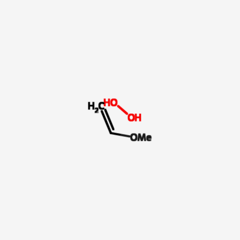 C=COC.OO